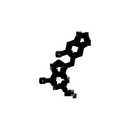 Nc1nc(Cl)c2ncn(Cc3cc4nsnc4cc3Cl)c2n1